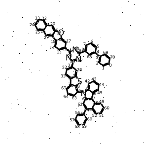 c1ccc(-c2cccc(-c3nc(-c4ccc5c(c4)oc4cc6ccccc6cc45)nc(-c4ccc5c(c4)sc4c(-n6c7ccccc7c7c8ccccc8c(-c8ccccc8)cc76)cccc45)n3)c2)cc1